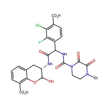 CCN1CCN(C(=O)NC(C(=O)N[C@H]2Cc3cccc(C(=O)O)c3OB2O)c2ccc(C(=O)O)c(Cl)c2F)C(=O)C1=O